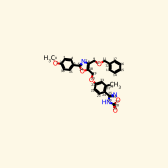 COc1ccc(-c2nc(COCc3ccccc3)c(COc3ccc(-c4noc(=O)[nH]4)c(C)c3)o2)cc1